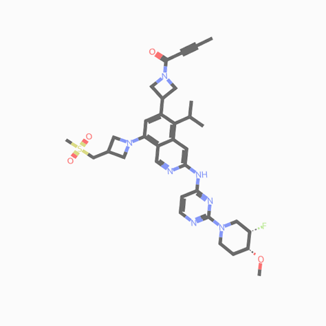 CC#CC(=O)N1CC(c2cc(N3CC(CS(C)(=O)=O)C3)c3cnc(Nc4ccnc(N5CC[C@@H](OC)[C@@H](F)C5)n4)cc3c2C(C)C)C1